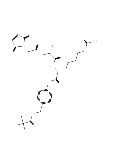 CC(C)[C@@H](NC(=O)CN1C(=O)C=CC1=O)C(=O)N[C@H](CCCCNC(N)=O)C(=O)Nc1ccc(COC(=O)C(C)(C)S)cc1